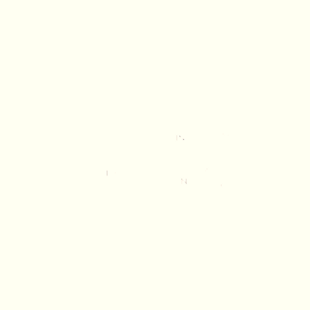 CN(CCO)C(=O)c1cc2ccccc2[nH]1